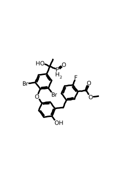 COC(=O)c1cc(Cc2cc(Oc3c(Br)cc(C(C)(O)[PH2]=O)cc3Br)ccc2O)ccc1F